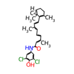 CC(C=CC1=C(C)CCCC1(C)C)=CC=CC(C)=CC(=O)Nc1cc(Cl)c(O)c(Cl)c1